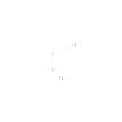 [CH2]C(=O)O.[Na+].[OH-]